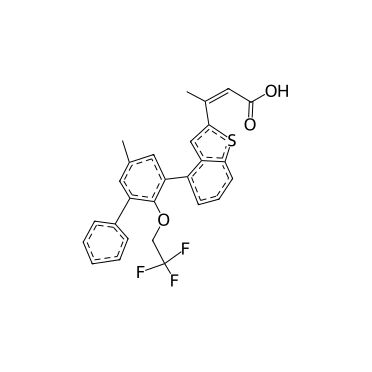 C/C(=C/C(=O)O)c1cc2c(-c3cc(C)cc(-c4ccccc4)c3OCC(F)(F)F)cccc2s1